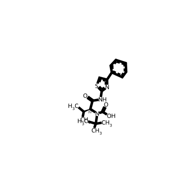 CC(C)[C@@H](C(=O)Nc1nc(-c2ccccc2)cs1)N(C(=O)O)C(C)(C)C